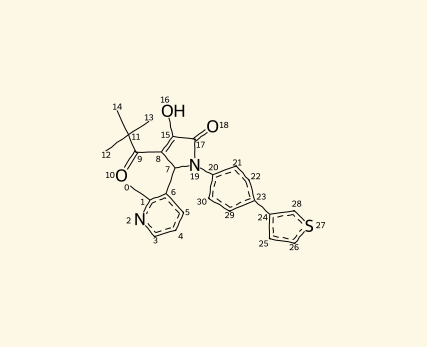 Cc1ncccc1C1C(C(=O)C(C)(C)C)=C(O)C(=O)N1c1ccc(-c2ccsc2)cc1